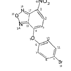 O=[N+]([O-])c1ccc(Oc2ccc(Br)cc2)c2nonc12